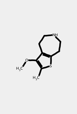 COc1c(C)sc2c1CCNCC2